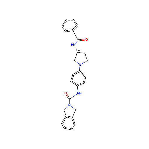 O=C(N[C@@H]1CCN(c2ccc(NC(=O)N3Cc4ccccc4C3)cc2)C1)c1ccccc1